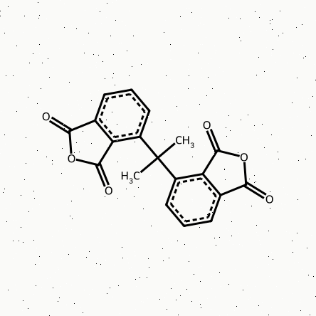 CC(C)(c1cccc2c1C(=O)OC2=O)c1cccc2c1C(=O)OC2=O